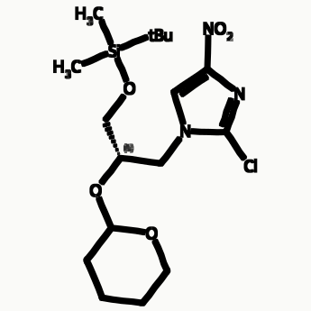 CC(C)(C)[Si](C)(C)OC[C@H](Cn1cc([N+](=O)[O-])nc1Cl)OC1CCCCO1